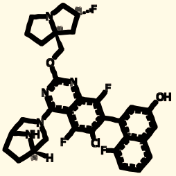 Oc1cc(-c2c(Cl)c(F)c3c(N4CC5CC[C@@H](C4)N5)nc(OC[C@@]45CCCN4C[C@H](F)C5)nc3c2F)c2c(F)cccc2c1